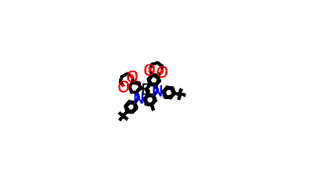 Cc1cc2c3c(c1)N(c1ccc(C(C)(C)C)cc1)c1cc4c(cc1B3C1=C(CC3OCCCOC3=C1)N2c1ccc(C(C)(C)C)cc1)OCCCO4